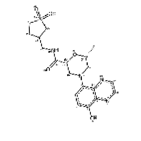 C[C@@H]1CN(c2ccc(C#N)c3nccnc23)C[C@H](C(=O)NCC2CCS(=O)(=O)C2)O1